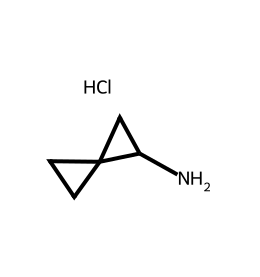 Cl.NC1CC12CC2